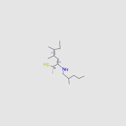 CCCC(C)CN/C(=C/C(C)=C(/C)CC)[C@H](C)S